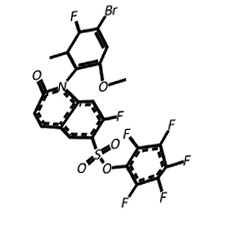 COC1=C(n2c(=O)ccc3cc(S(=O)(=O)Oc4c(F)c(F)c(F)c(F)c4F)c(F)cc32)C(C)C(F)C(Br)=C1